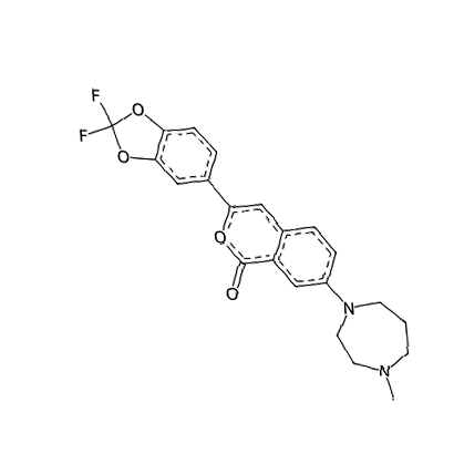 CN1CCCN(c2ccc3cc(-c4ccc5c(c4)OC(F)(F)O5)oc(=O)c3c2)CC1